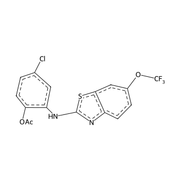 CC(=O)Oc1ccc(Cl)cc1Nc1nc2ccc(OC(F)(F)F)cc2s1